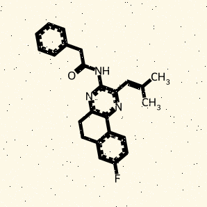 CC(C)=Cc1nc2c(nc1NC(=O)Cc1ccccc1)CCc1cc(F)ccc1-2